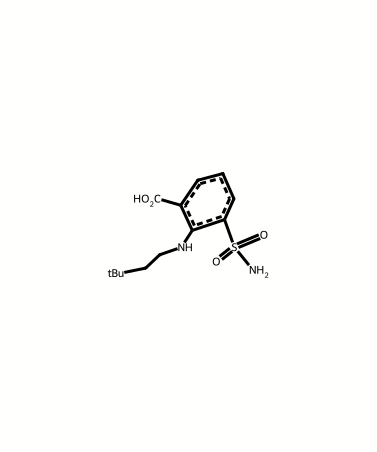 CC(C)(C)CCNc1c(C(=O)O)cccc1S(N)(=O)=O